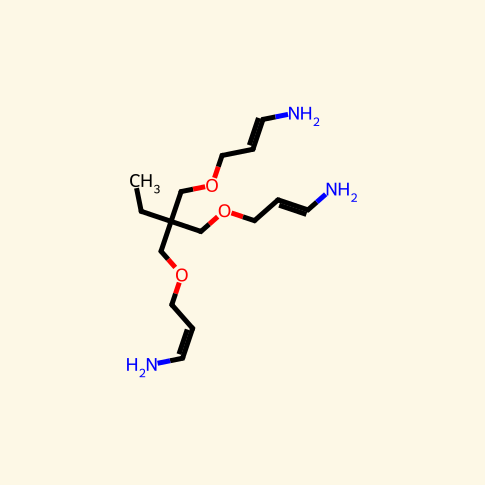 CCC(COC/C=C\N)(COC/C=C/N)COC/C=C/N